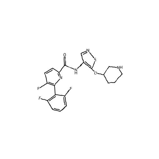 O=C(Nc1cnsc1OC1CCCNC1)c1ccc(F)c(-c2c(F)cccc2F)n1